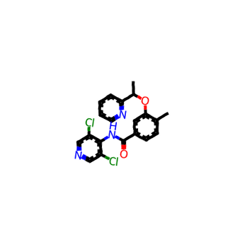 Cc1ccc(C(=O)Nc2c(Cl)cncc2Cl)cc1OC(C)c1ccccn1